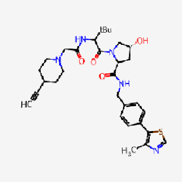 C#CC1CCN(CC(=O)NC(C(=O)N2C[C@H](O)C[C@H]2C(=O)NCc2ccc(-c3scnc3C)cc2)C(C)(C)C)CC1